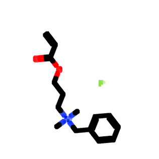 C=CC(=O)OCCC[N+](C)(C)Cc1ccccc1.[F-]